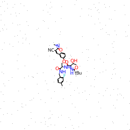 Cc1ccc(CNC(=O)C(COc2cccc(C=C(C#N)C(=O)N(C)C)c2)NC(=O)C(NC(=O)C(C)(C)C)C(C)O)c(F)c1